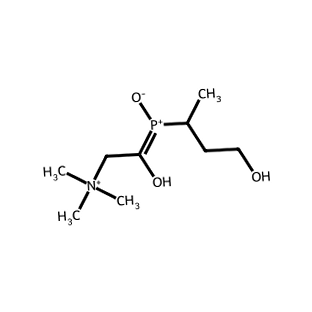 CC(CCO)/[P+]([O-])=C(\O)C[N+](C)(C)C